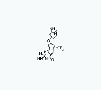 CN(C(=N)N)C(=O)c1cc2c(C(F)(F)F)cc(Oc3ccnc(N)c3)cc2[nH]1